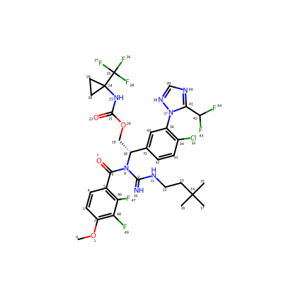 COc1ccc(C(=O)N(C(=N)NCCC(C)(C)C)[C@H](COC(=O)NC2(C(F)(F)F)CC2)c2ccc(Cl)c(-n3ncnc3C(F)F)c2)c(F)c1F